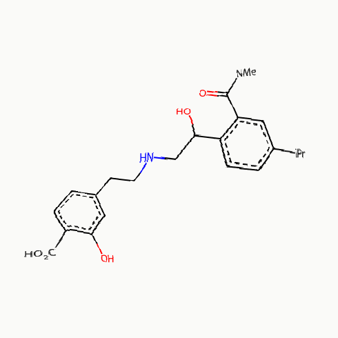 CNC(=O)c1cc(C(C)C)ccc1C(O)CNCCc1ccc(C(=O)O)c(O)c1